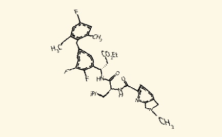 CCOC(=O)C[C@H](NC(=O)[C@H](CC(C)C)NC(=O)c1ccc2c(n1)CN(C)C2)c1cc(-c2c(C)cc(F)cc2C)cc(F)c1F